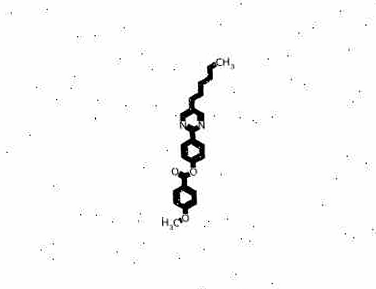 CCCCCCc1cnc(-c2ccc(OC(=O)c3ccc(OC)cc3)cc2)nc1